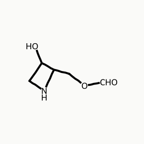 O=COCC1NCC1O